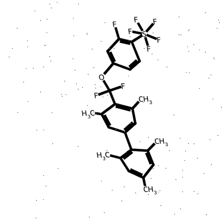 Cc1cc(C)c(-c2cc(C)c(C(F)(F)Oc3ccc(S(F)(F)(F)(F)F)c(F)c3)c(C)c2)c(C)c1